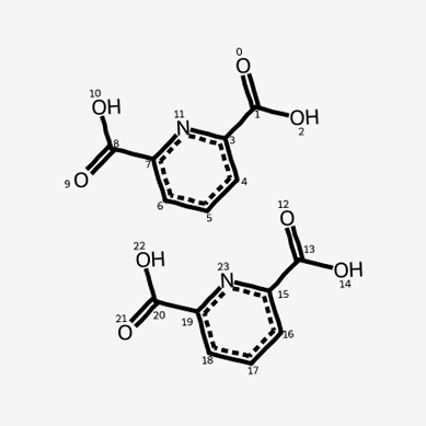 O=C(O)c1cccc(C(=O)O)n1.O=C(O)c1cccc(C(=O)O)n1